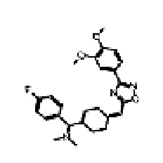 COc1ccc(-c2noc(C=C3CCC(C(c4ccc(F)cc4)N(C)C)CC3)n2)cc1OC